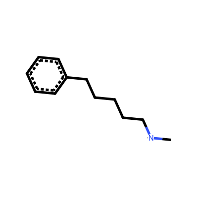 C[N]CCCCCc1ccccc1